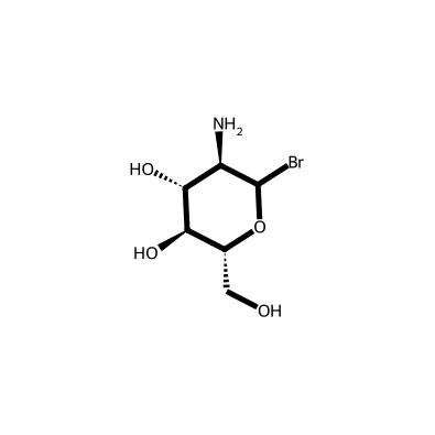 N[C@H]1C(Br)O[C@H](CO)[C@@H](O)[C@@H]1O